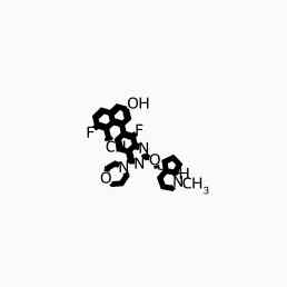 C#Cc1c(F)ccc2cc(O)cc(-c3ccc4c(N5CCCOCC5)nc(OC[C@]56CCC[C@H]5N(C)CCC6)nc4c3F)c12